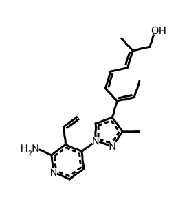 C=Cc1c(-n2cc(C(/C=C\C=C(/C)CO)=C/C)c(C)n2)ccnc1N